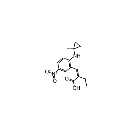 CCC(=Cc1cc([N+](=O)[O-])ccc1NC1(C)CC1)C(=O)O